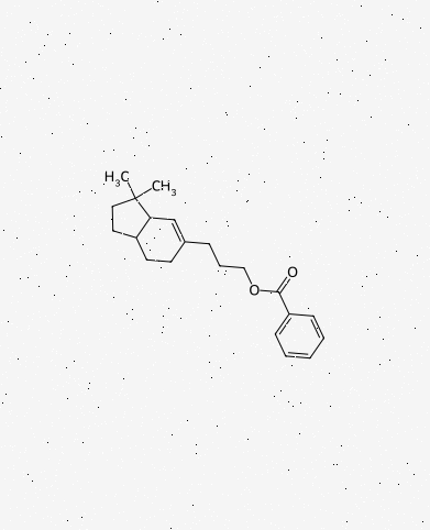 CC1(C)CCC2CCC(CCCOC(=O)c3ccccc3)=CC21